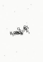 Cc1cc(C)nc([C@H]2CC[C@H](c3nnc4n3-c3ccc(Cl)cc3CN(OC(=O)OC(C)(C)C)C4)CC2)n1